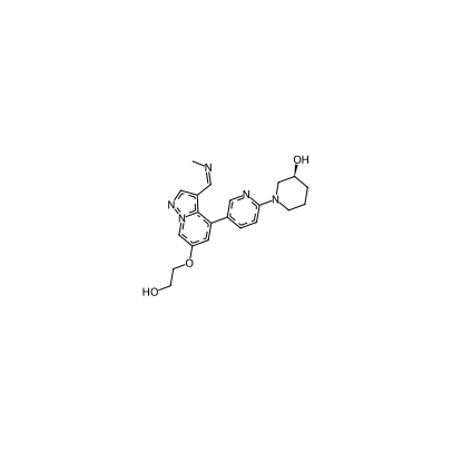 C/N=C\c1cnn2cc(OCCO)cc(-c3ccc(N4CCC[C@H](O)C4)nc3)c12